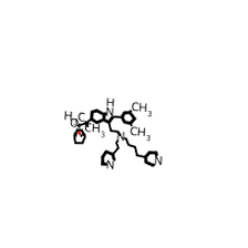 Cc1cc(C)cc(-c2[nH]c3ccc(C(C)(C)C(=O)N4C5CCC4CC5)cc3c2CCN(CCCCc2ccncc2)CCc2cccnc2)c1